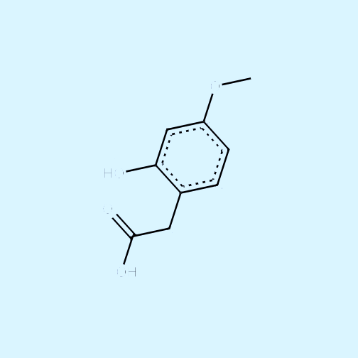 COc1ccc(CC(=O)O)c(O)c1